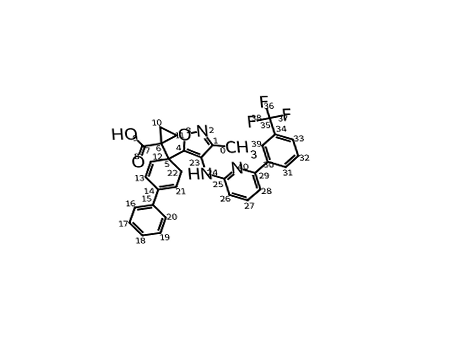 Cc1noc(C2(C3(C(=O)O)CC3)C=CC(c3ccccc3)=CC2)c1Nc1cccc(-c2cccc(C(F)(F)F)c2)n1